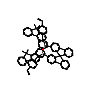 C=Cc1ccc(-c2ccc(N(c3ccc4c(c3)-c3ccccc3C4(C)C)c3ccc4c(c3)C3(c5ccccc5-4)c4ccccc4-c4ccc(N(c5ccc(-c6ccc(C=C)cc6)cc5)c5ccc6c(c5)C(C)(C)c5ccccc5-6)cc43)cc2)cc1